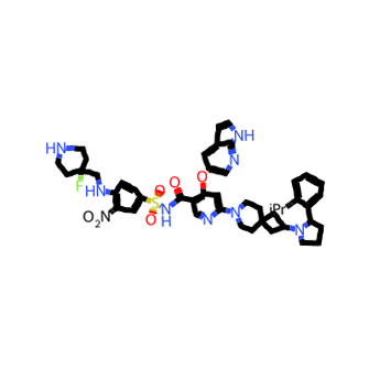 CC(C)c1ccccc1C1CCCN1C1CC2(CCN(c3cc(Oc4cnc5[nH]ccc5c4)c(C(=O)NS(=O)(=O)c4ccc(NCC5(F)CCNCC5)c([N+](=O)[O-])c4)cn3)CC2)C1